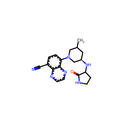 CC1C[C@@H](NC2CCNC2=O)CN(c2ccc(C#N)c3nccnc23)C1